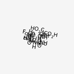 O=C(O)CC[C@H](NC(=O)N[C@@H](CCC(=O)N[C@@H](Cc1ccccc1)C(=O)NCCNC(=O)CNC(=O)[C@H](Cc1ccccc1)NC(=O)[C@H](Cc1ccccc1)NC(=O)c1ccc(F)cc1)C(=O)O)C(=O)O